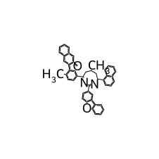 Cc1ccc(/C2=N/C(c3ccc4oc5ccccc5c4c3)=N\C(c3cccc4ccccc34)CC(C)C2)c2oc3cc4ccccc4cc3c12